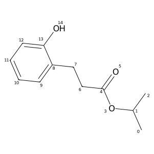 CC(C)OC(=O)CCc1ccccc1O